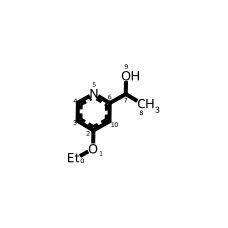 CCOc1ccnc(C(C)O)c1